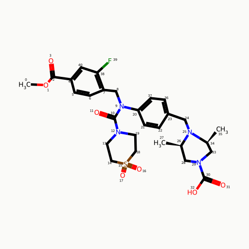 COC(=O)c1ccc(CN(C(=O)N2CCS(=O)(=O)CC2)c2ccc(CN3[C@H](C)CN(C(=O)O)C[C@@H]3C)cc2)c(F)c1